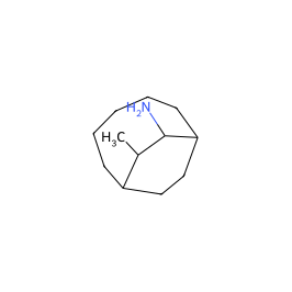 CC1C2CCCCCC(CC2)C1N